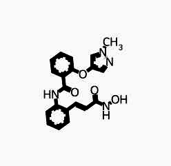 Cn1cc(Oc2ccccc2C(=O)Nc2ccccc2/C=C/C(=O)NO)cn1